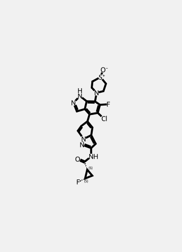 O=C(Nc1cc2cc(-c3c(Cl)c(F)c(N4CC[S+]([O-])CC4)c4[nH]ncc34)ccn2n1)[C@@H]1C[C@@H]1F